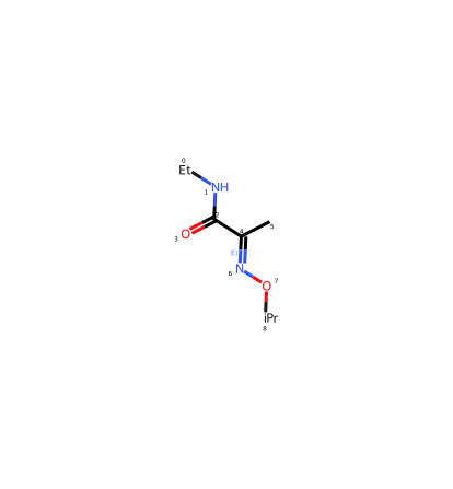 CCNC(=O)/C(C)=N/OC(C)C